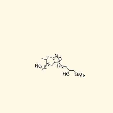 COCC(O)CNc1onc2c1CN(C(=O)O)C(C)C2